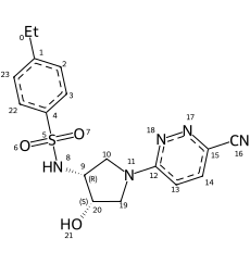 CCc1ccc(S(=O)(=O)N[C@@H]2CN(c3ccc(C#N)nn3)C[C@@H]2O)cc1